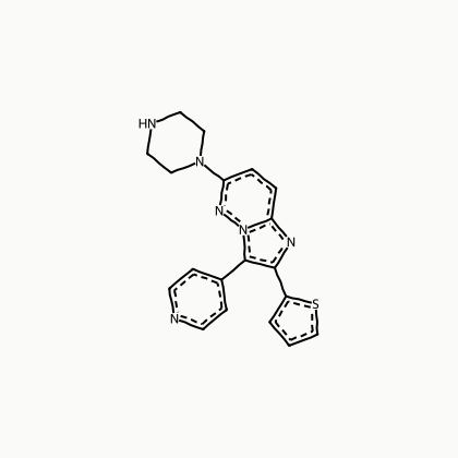 c1csc(-c2nc3ccc(N4CCNCC4)nn3c2-c2ccncc2)c1